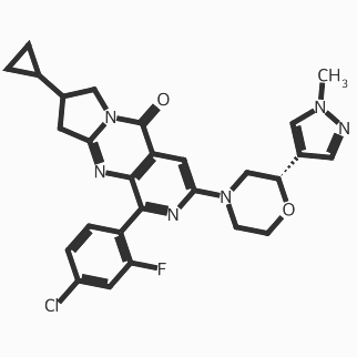 Cn1cc([C@H]2CN(c3cc4c(=O)n5c(nc4c(-c4ccc(Cl)cc4F)n3)CC(C3CC3)C5)CCO2)cn1